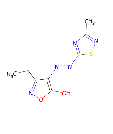 CCc1noc(O)c1N=Nc1nc(C)ns1